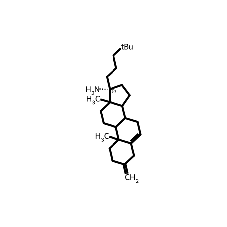 C=C1CCC2(C)C(=CCC3C2CCC2(C)C3CC[C@]2(N)CCCC(C)(C)C)C1